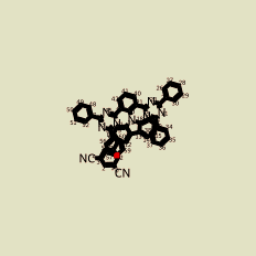 N#Cc1cc(C#N)cc(-c2ccc3c(c2)c2ccccc2n3-c2c(-c3nc(-c4ccccc4)nc(-c4ccccc4)n3)cccc2-c2nc(-c3ccccc3)nc(-c3ccccc3)n2)c1